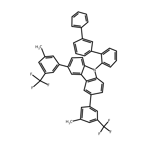 Cc1cc(-c2ccc3c(c2)c2cc(-c4cc(C)cc(C(F)(F)F)c4)ccc2n3-c2ccccc2-c2cccc(-c3ccccc3)c2)cc(C(F)(F)F)c1